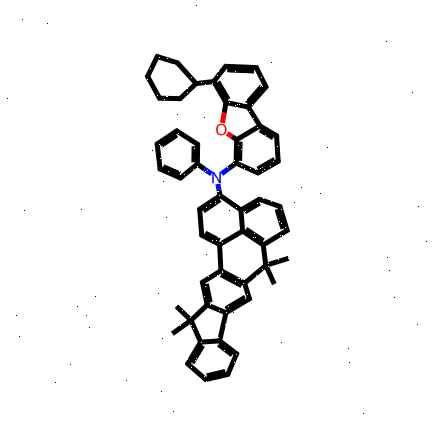 CC1(C)c2ccccc2-c2cc3c(cc21)-c1ccc(N(c2ccccc2)c2cccc4c2oc2c(C5CCCCC5)cccc24)c2cccc(c12)C3(C)C